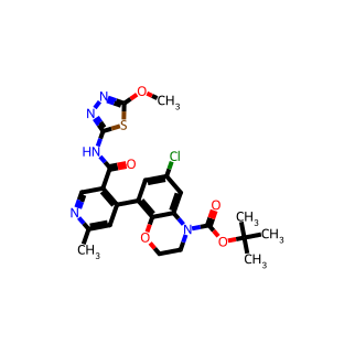 COc1nnc(NC(=O)c2cnc(C)cc2-c2cc(Cl)cc3c2OCCN3C(=O)OC(C)(C)C)s1